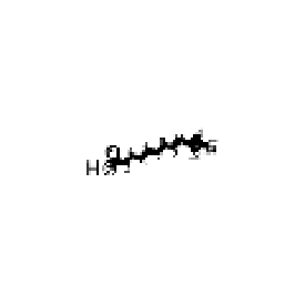 O=C(O)CCCCCC/C=C/C12CC(F)(C1)C2